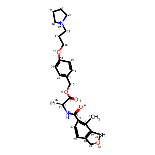 Cc1c(C(=O)N[C@H](C(=O)OCc2ccc(OCCCN3CCCC3)cc2)C(C)C)ccc2c1BOC2